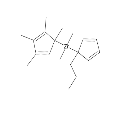 CCC[C]1([Zr]([CH3])([CH3])[C]2(C)C=C(C)C(C)=C2C)C=CC=C1